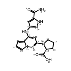 NC(=O)c1cc(Nc2nc(N3CCC[C@H]3C(=O)O)nn3cccc23)n[nH]1